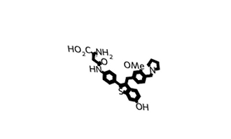 COc1cc(Cc2c(-c3ccc(NC(=O)C[C@H](N)C(=O)O)cc3)sc3cc(O)ccc23)ccc1CN1CCCC1